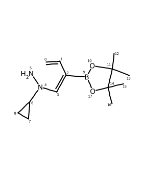 C=C/C(=C\N(N)C1CC1)B1OC(C)(C)C(C)(C)O1